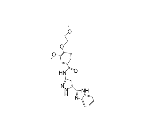 COCCOc1ccc(C(=O)Nc2cc(-c3nc4ccccc4[nH]3)[nH]n2)cc1OC